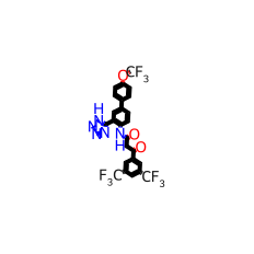 O=C(CC(=O)c1cc(C(F)(F)F)cc(C(F)(F)F)c1)Nc1ccc(-c2ccc(OC(F)(F)F)cc2)cc1-c1nnn[nH]1